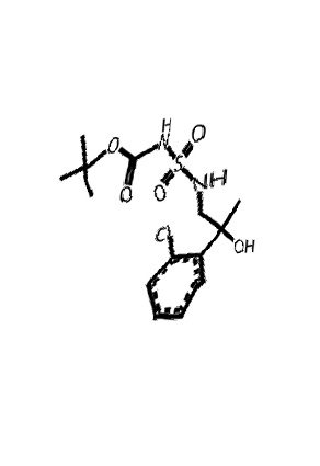 CC(C)(C)OC(=O)NS(=O)(=O)NCC(C)(O)c1ccccc1Cl